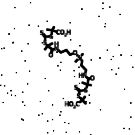 CC(C)(SC(=S)SC(C)(C)C(=O)NCCCO[Si](C)(C)CCCNC(=O)C(C)(C)SC(=S)SC(C)(C)C(=O)O)C(=O)O